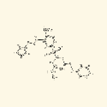 COc1ccc(S(=O)(=O)C(CCCCc2ccccc2)CC(=O)NO)cc1OCCc1cccs1